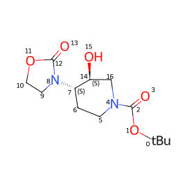 CC(C)(C)OC(=O)N1CC[C@H](N2CCOC2=O)[C@@H](O)C1